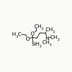 CCOC([SiH3])(CCC(C)N(C)C)OCC